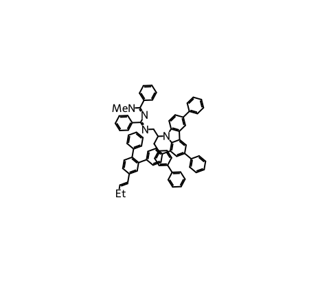 CC/C=C/c1ccc(-c2ccccc2)c(-c2ccc(-c3cc(-c4ccccc4)cc4c5cc(-c6ccccc6)ccc5n(C(C/N=C(\N=C(/NC)c5ccccc5)c5ccccc5)Cc5ccc(-c6ccccc6)cc5)c34)cc2)c1